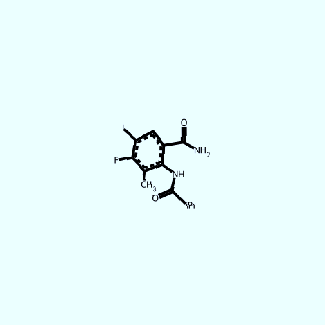 Cc1c(F)c(I)cc(C(N)=O)c1NC(=O)C(C)C